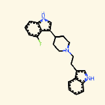 Fc1cccc2[nH]cc(C3CCN(CCc4c[nH]c5ccccc45)CC3)c12